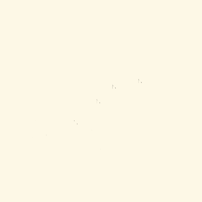 O=C(NCC1CC1)c1ccc(N2CCCCC2)nn1